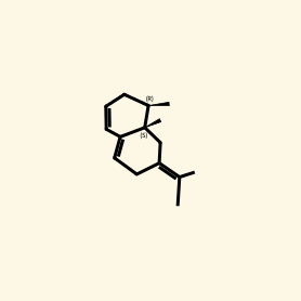 CC(C)=C1CC=C2C=CC[C@@H](C)[C@]2(C)C1